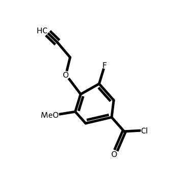 C#CCOc1c(F)cc(C(=O)Cl)cc1OC